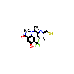 CC/C(=N\C=C\S)C(C)N(C)c1cc(C(F)(F)F)c(O)cc1C(N)=O